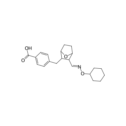 O=C(O)c1ccc(CC2C3CCC(O3)C2C=NOC2CCCCC2)cc1